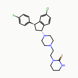 Fc1ccc([C@@H]2C[C@@H](N3CCN(CCN4CCCNC4=S)CC3)c3ccc(Cl)cc32)cc1